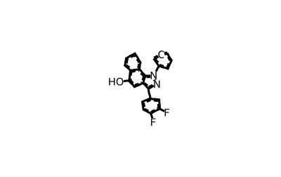 Oc1cc2c(-c3ccc(F)c(F)c3)nn(-c3ccccc3)c2c2ccccc12